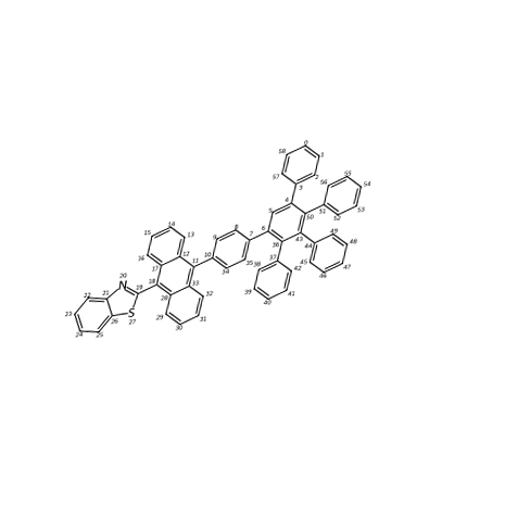 c1ccc(-c2cc(-c3ccc(-c4c5ccccc5c(-c5nc6ccccc6s5)c5ccccc45)cc3)c(-c3ccccc3)c(-c3ccccc3)c2-c2ccccc2)cc1